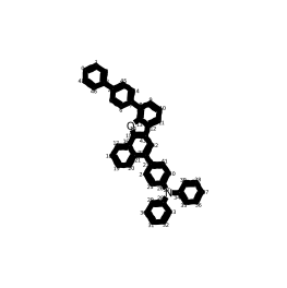 c1ccc(-c2ccc(-c3cccc4c3oc3c5ccccc5c(-c5ccc(N(c6ccccc6)c6ccccc6)cc5)cc43)cc2)cc1